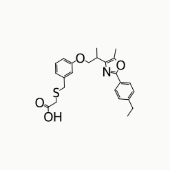 CCc1ccc(-c2nc(C(C)COc3cccc(CSCC(=O)O)c3)c(C)o2)cc1